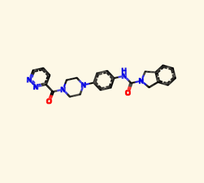 O=C(Nc1ccc(N2CCN(C(=O)c3cccnn3)CC2)cc1)N1Cc2ccccc2C1